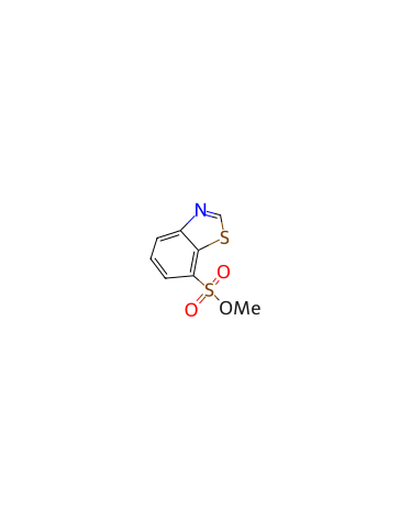 COS(=O)(=O)c1cccc2ncsc12